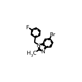 Cc1nc2ccc(Br)cc2n1Cc1cccc(F)c1